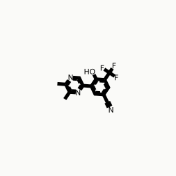 Cc1ncc(-c2cc(C#N)cc(C(F)(F)F)c2O)nc1C